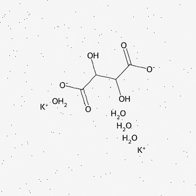 O.O.O.O.O=C([O-])C(O)C(O)C(=O)[O-].[K+].[K+]